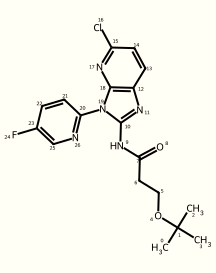 CC(C)(C)OCCC(=O)Nc1nc2ccc(Cl)nc2n1-c1ccc(F)cn1